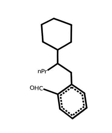 CCCC(Cc1ccccc1C=O)C1CCCCC1